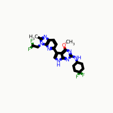 COc1nc(NC2CCC(F)(F)CC2)nc2[nH]cc(-c3ccc4nc(C)n(CC(F)F)c4n3)c12